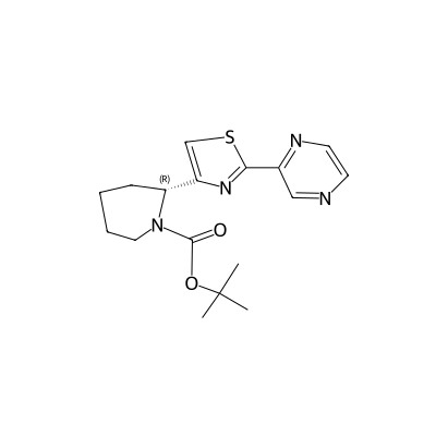 CC(C)(C)OC(=O)N1CCCC[C@@H]1c1csc(-c2cnccn2)n1